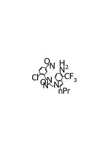 CCCc1cc2c(C(F)(F)F)c(N)ccc2n1Cc1noc(-c2cc(C(=O)N(C)C)ccc2Cl)n1